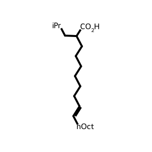 CCCCCCCCC=CCCCCCCC(CC(C)C)C(=O)O